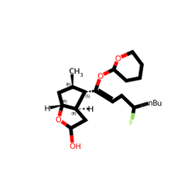 CCCCC(F)CC=C(OC1CCCCO1)[C@@H]1[C@H]2CC(O)O[C@@H]2C[C@H]1C